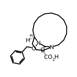 O=C(O)[C@@H]1CC[C@H]2CCCCCCCCCCCN1C(=O)N2OCc1ccccc1